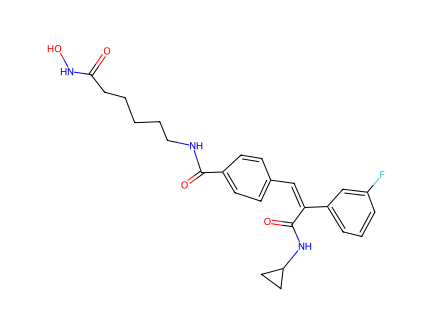 O=C(CCCCCNC(=O)c1ccc(C=C(C(=O)NC2CC2)c2cccc(F)c2)cc1)NO